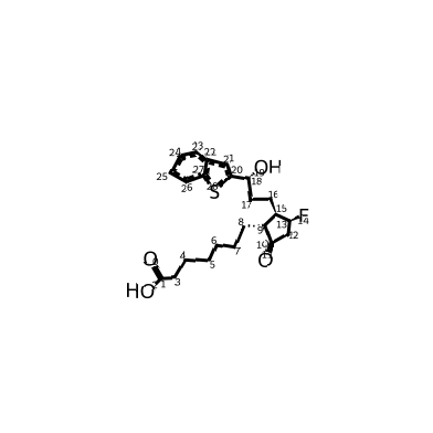 O=C(O)CCCCCC[C@H]1C(=O)C[C@H](F)[C@@H]1CC[C@@H](O)c1cc2ccccc2s1